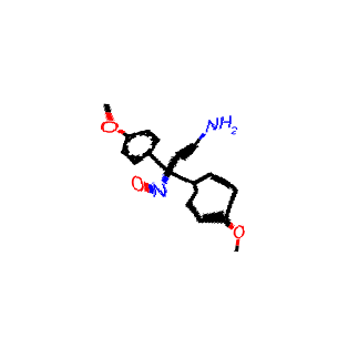 COC1=CCC(C(C#CN)(N=O)c2ccc(OC)cc2)C=C1